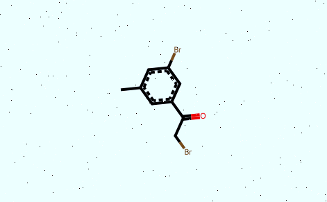 Cc1cc(Br)cc(C(=O)CBr)c1